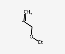 C=[C]COCC